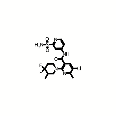 Cc1nc(N2CCC(F)(F)C(C)C2)c(C(=O)Nc2ccnc(S(N)(=O)=O)c2)cc1Cl